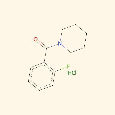 Cl.O=C(c1ccccc1F)N1CCCCC1